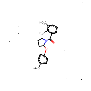 COc1ccc(OC2CCCN2C(=O)c2cccc(C(=O)O)c2C)cc1